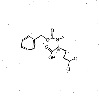 CN(C(=O)OCc1ccccc1)[C@@H](CCC(Cl)Cl)C(=O)O